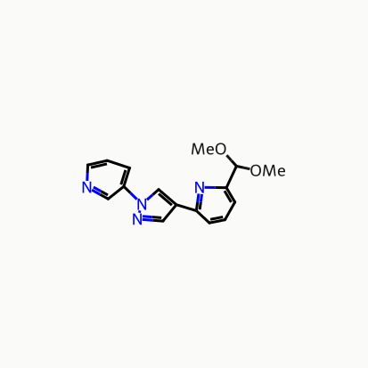 COC(OC)c1cccc(-c2cnn(-c3cccnc3)c2)n1